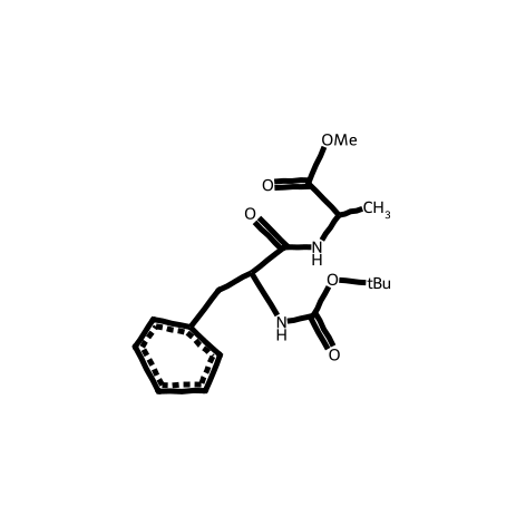 COC(=O)C(C)NC(=O)C(Cc1ccccc1)NC(=O)OC(C)(C)C